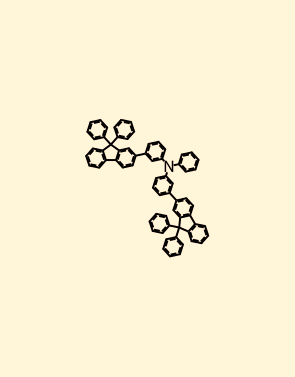 c1ccc(N(c2cccc(-c3ccc4c(c3)C(c3ccccc3)(c3ccccc3)c3ccccc3-4)c2)c2cccc(-c3ccc4c(c3)C(c3ccccc3)(c3ccccc3)c3ccccc3-4)c2)cc1